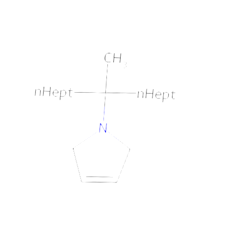 CCCCCCCC(C)(CCCCCCC)N1CC=CC1